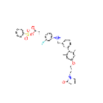 Cc1cc(OCCCN2CCCC2=O)cc(C)c1-c1cccc(CNc2ccc(CCC(=O)OS(=O)(=O)c3ccccc3)c(F)c2)c1